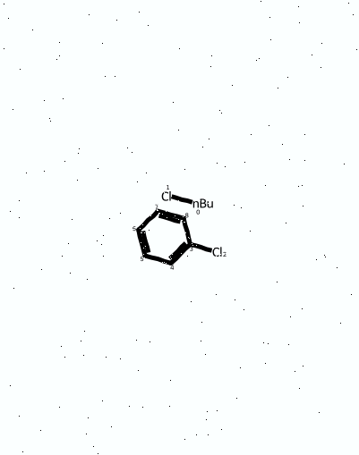 CCCCCl.Clc1ccccc1